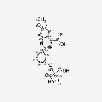 COc1ccc2c(C(=O)O)nc(-c3cccc(C#C[C@@]4(CO)CCNC4=O)c3)nc2c1